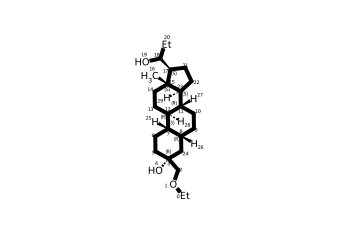 CCOC[C@@]1(O)CC[C@H]2[C@H](CC[C@@H]3[C@@H]2CC[C@]2(C)[C@@H](C(O)CC)CC[C@@H]32)C1